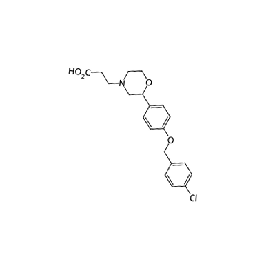 O=C(O)CCN1CCOC(c2ccc(OCc3ccc(Cl)cc3)cc2)C1